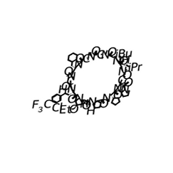 CCO[C@@H]1C[C@H]2C(=O)NC3(CCCC3)C(=O)N(C)[C@@H](C3CCCC3)C(=O)N(C)[C@H](C(=O)N3CCCC3)CC(=O)N(C)[C@@H](CC(C)C)C(=O)N[C@@H]([C@@H](C)CC)C(=O)N(C)CC(=O)N(C)CC(=O)N(C)[C@@H](CC3CCCCC3)C(=O)N(C)CC(=O)N[C@@H](CCc3ccc(C(F)(F)F)c(Cl)c3)C(=O)N2C1